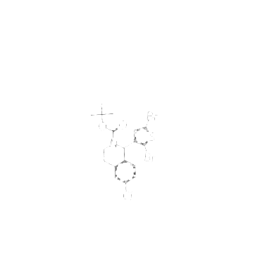 CC(C)(C)OC(=O)N1CCc2cc(Cl)ccc2C1c1cc(Br)sc1Br